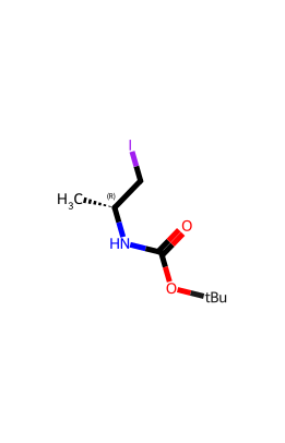 C[C@H](CI)NC(=O)OC(C)(C)C